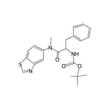 CN(C(=O)C(Cc1ccccc1)NC(=O)OC(C)(C)C)c1ccc2scnc2c1